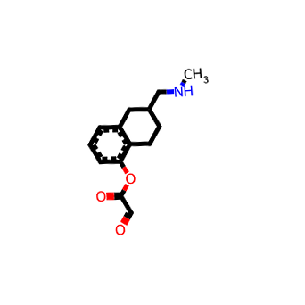 CNCC1CCc2c(cccc2OC(=O)C=O)C1